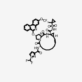 CC1(S(=O)(=O)NC(=O)[C@@]23C[C@H]2/C=C\CCCCC[C@H](NC(=O)c2ccn(C(F)F)n2)C(=O)N2C[C@H](Oc4nc5cc(OC(F)(F)F)ccc5c5ccccc45)C[C@H]2C(=O)N3)CC1